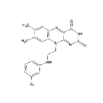 CC(=O)c1cccc(NCCn2c3nc(=O)[nH]c(=O)c-3nc3cc(C)c(C)cc32)c1